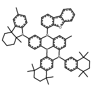 Cc1cc2c3c(c1)N(c1cccc4c1oc1ccccc14)c1cc(N4c5ccc(C)cc5C5(C)CCCCC45C)ccc1B3c1cc3c(cc1N2c1ccc2c(c1)C(C)(C)CCC2(C)C)C(C)(C)CCC3(C)C